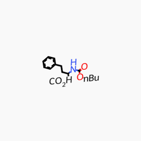 CCCCOC(=O)NC(CCc1ccccc1)C(=O)O